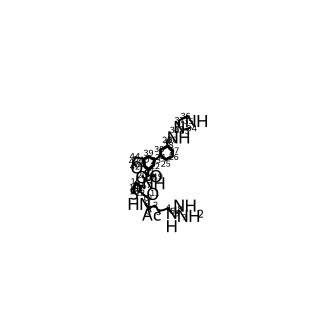 CC(=O)C(CCCNC(=N)N)NC(=O)c1sccc1NS(=O)(=O)c1cc(-c2cccc(CNCN3CCNCC3)c2)cc2c1OCC2